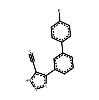 N#Cc1[nH]nnc1-c1cccc(-c2ccc(F)cc2)c1